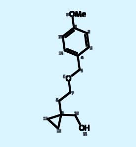 COc1ccc(COCCC2(CO)CC2)cc1